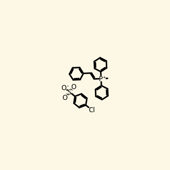 C[P+](/C=C/c1ccccc1)(c1ccccc1)c1ccccc1.O=S(=O)([O-])c1ccc(Cl)cc1